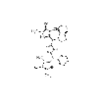 CC(=O)c1c(C)[nH]c(C(c2ccccc2)c2ccc(C(c3[nH]c(C)c(C(C)=O)c3C)c3csc4ccccc34)[nH]2)c1C